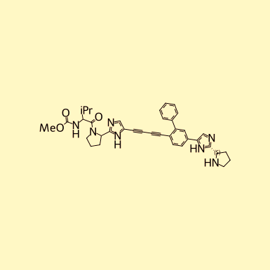 COC(=O)NC(C(=O)N1CCCC1c1ncc(C#CC#Cc2ccc(-c3cnc([C@@H]4CCCN4)[nH]3)cc2-c2ccccc2)[nH]1)C(C)C